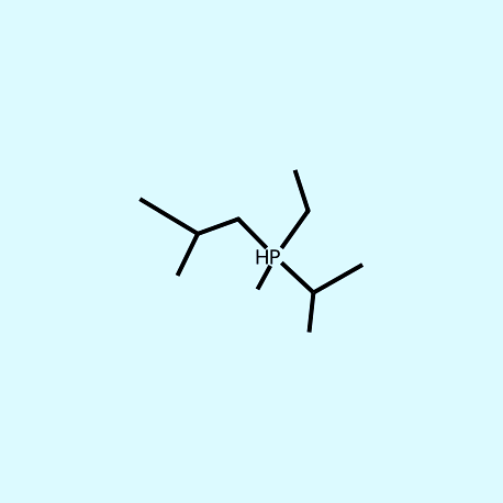 CC[PH](C)(CC(C)C)C(C)C